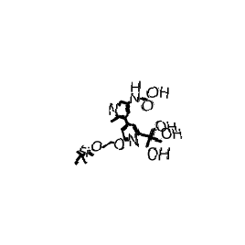 Cc1ncc(NC(=O)O)cc1-c1cc(OCCO[Si](C)(C)C(C)(C)C)nc(C(CO)(CO)CO)c1